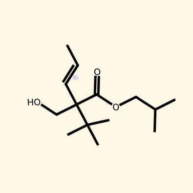 C/C=C/C(CO)(C(=O)OCC(C)C)C(C)(C)C